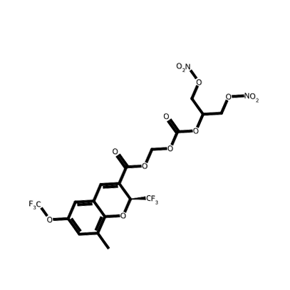 Cc1cc(OC(F)(F)F)cc2c1O[C@H](C(F)(F)F)C(C(=O)OCOC(=O)OC(CO[N+](=O)[O-])CO[N+](=O)[O-])=C2